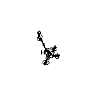 CC(C)(C)OC(=O)CCOC[C@H]1O[C@@H](NC(=O)CCCCCCCCCCC(=O)OCc2ccccc2)[C@H](F)[C@@H](OCCC(=O)OC(C)(C)C)[C@@H]1OCCC(=O)OC(C)(C)C